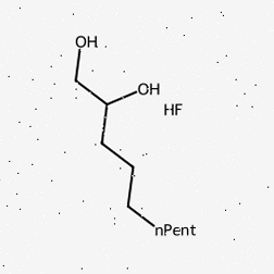 CCCCCCCCC(O)CO.F